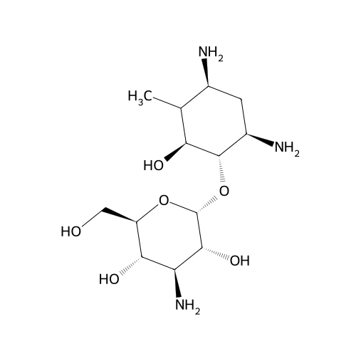 CC1[C@@H](N)C[C@@H](N)[C@H](O[C@H]2O[C@H](CO)[C@@H](O)[C@H](N)[C@H]2O)[C@H]1O